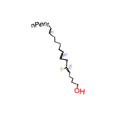 CCCCC/C=C/CCCC/C=C/C/C(F)=C/CCCCO